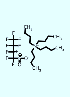 CCCC[N+](CCCC)(CCCC)CCCC.O=S(=O)([O-])C(F)(F)C(F)(F)C(F)(F)C(F)(F)F